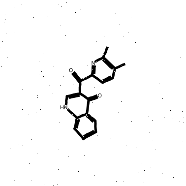 Cc1ccc(C(=O)c2c[nH]c3ccccc3c2=O)nc1C